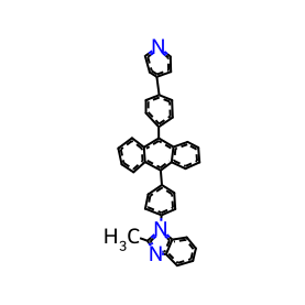 Cc1nc2ccccc2n1-c1ccc(-c2c3ccccc3c(-c3ccc(-c4ccncc4)cc3)c3ccccc23)cc1